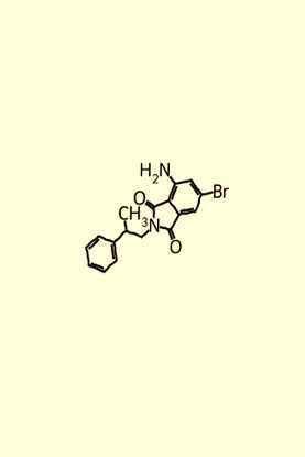 CC(CN1C(=O)c2cc(Br)cc(N)c2C1=O)c1ccccc1